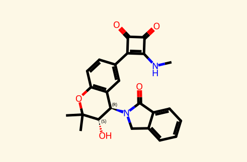 CNc1c(-c2ccc3c(c2)[C@@H](N2Cc4ccccc4C2=O)[C@H](O)C(C)(C)O3)c(=O)c1=O